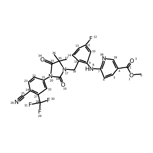 COC(=O)c1ccc(Nc2cc(F)ccc2CN2C(=O)N(c3ccc(C#N)c(C(F)(F)F)c3)C(=O)C2(C)C)nc1